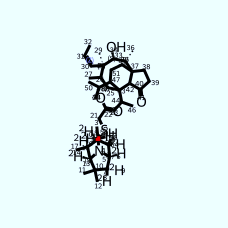 [2H]C([2H])(C)N1[C@@]2([2H])C([2H])([2H])C(C)(C)[C@]1([2H])C([2H])(C)[C@@]([2H])(SCC(=O)O[C@@H]1C(C)[C@@](C)(/C=C\C)[C@@H](O)[C@H](C)C34CCC(=O)C3C1(C(C)C)C(C(C)C)CC4)C2([2H])[2H]